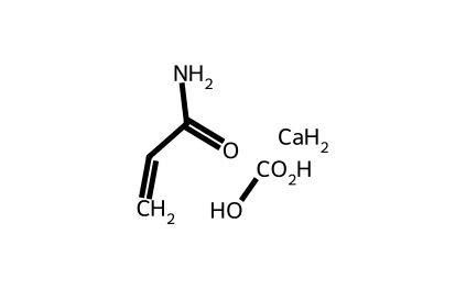 C=CC(N)=O.O=C(O)O.[CaH2]